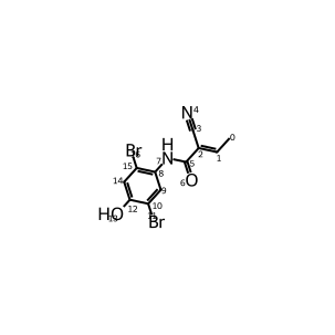 CC=C(C#N)C(=O)Nc1cc(Br)c(O)cc1Br